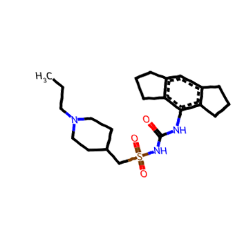 CCCN1CCC(CS(=O)(=O)NC(=O)Nc2c3c(cc4c2CCC4)CCC3)CC1